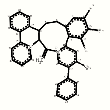 C=C1C2C(CCc3cc(F)c(F)c(F)c3-c3cc(C)c(-c4ccccc4)c[n+]31)c1ccccc1-c1cccc[n+]12